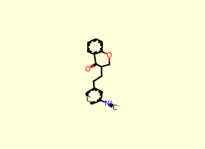 [C-]#[N+]c1cccc(CCC2COc3ccccc3C2=O)c1